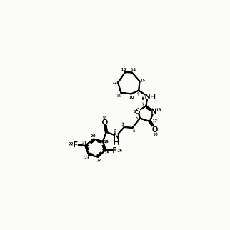 O=C(NCCC1SC(NC2CCCCCC2)=NC1=O)c1cc(F)ccc1F